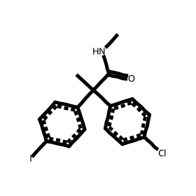 CNC(=O)C(C)(c1ccc(Cl)cc1)c1ccc(I)cc1